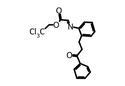 O=C(C=Nc1ccccc1CCC(=O)c1ccccc1)OCC(Cl)(Cl)Cl